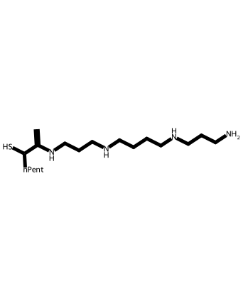 C=C(NCCCNCCCCNCCCN)C(S)CCCCC